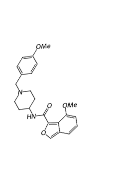 COc1ccc(CN2CCC(NC(=O)c3occ4cccc(OC)c34)CC2)cc1